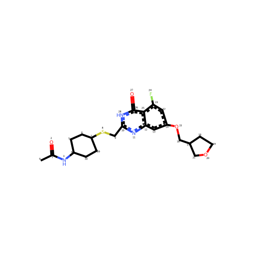 CC(=O)NC1CCC(SCc2nc3cc(OCC4CCOC4)cc(F)c3c(=O)[nH]2)CC1